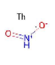 O=[NH+][O-].[Th]